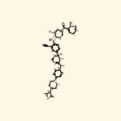 C[C@]1(c2ccc(N[C@H]3CCN(C(=O)C4=CCC=NN4)C[C@H]3F)c(C#N)c2)N=CN=C(Nc2ccc(N3CCN(C4COC4)CC3)cc2)N1